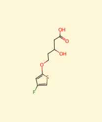 O=C(O)CC(O)CCOc1cc(F)cs1